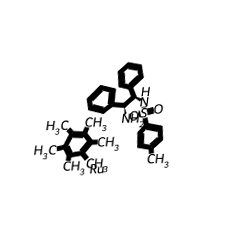 Cc1c(C)c(C)c(C)c(C)c1C.Cc1ccc(S(=O)(=O)N[C@H](c2ccccc2)[C@H](N)c2ccccc2)cc1.[Ru]